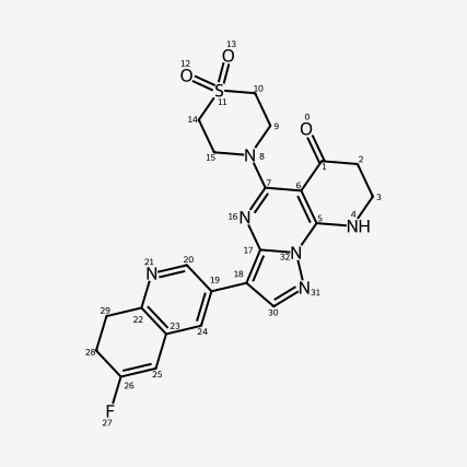 O=C1CCNc2c1c(N1CCS(=O)(=O)CC1)nc1c(-c3cnc4c(c3)C=C(F)CC4)cnn21